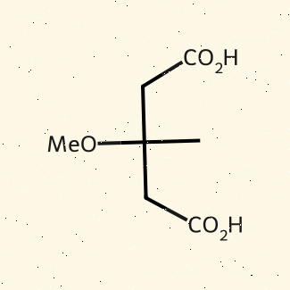 COC(C)(CC(=O)O)CC(=O)O